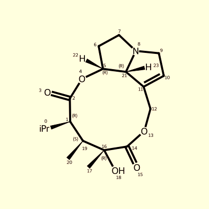 CC(C)[C@H]1C(=O)O[C@@H]2CCN3CC=C(COC(=O)[C@](C)(O)[C@H]1C)[C@H]23